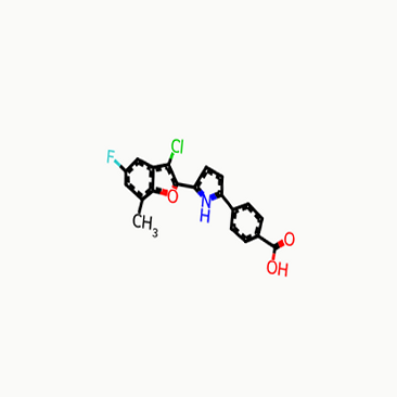 Cc1cc(F)cc2c(Cl)c(-c3ccc(-c4ccc(C(=O)O)cc4)[nH]3)oc12